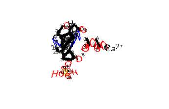 CC(=O)[O-].CC(=O)[O-].COc1cc2c(cc1OC)[C@@]13CCN4CC5=CCO[C@H]6CC(=O)N2[C@H]1[C@H]6[C@H]5C[C@H]43.O=S(=O)(O)O.[Ca+2]